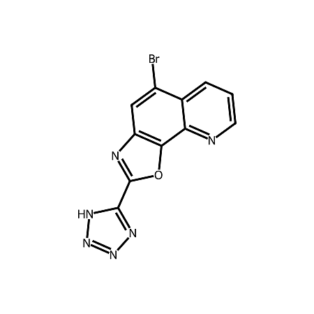 Brc1cc2nc(-c3nnn[nH]3)oc2c2ncccc12